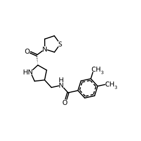 Cc1ccc(C(=O)NCC2CN[C@H](C(=O)N3CCSC3)C2)cc1C